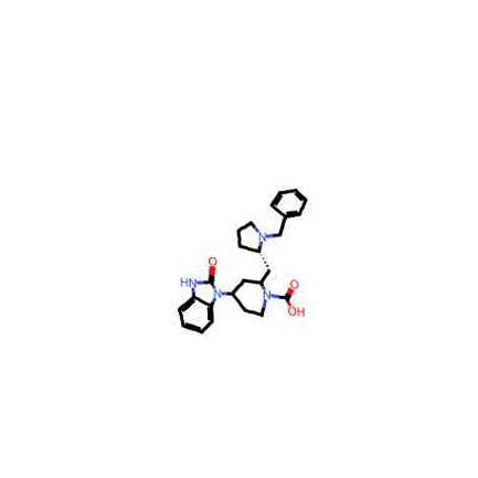 O=C(O)N1CCC(n2c(=O)[nH]c3ccccc32)CC1C[C@@H]1CCCN1Cc1ccccc1